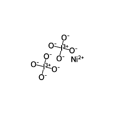 [Ni+2].[O-][I+3]([O-])([O-])[O-].[O-][I+3]([O-])([O-])[O-]